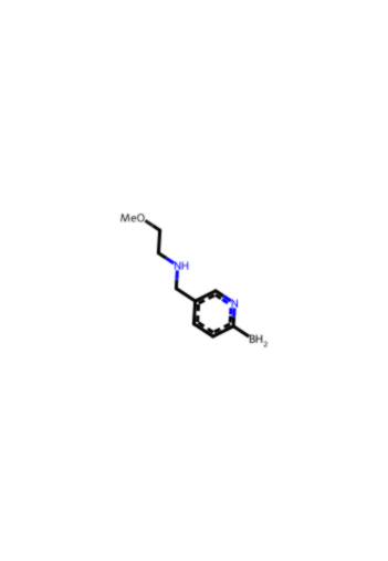 Bc1ccc(CNCCOC)cn1